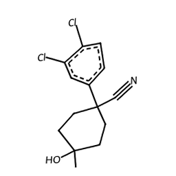 CC1(O)CCC(C#N)(c2ccc(Cl)c(Cl)c2)CC1